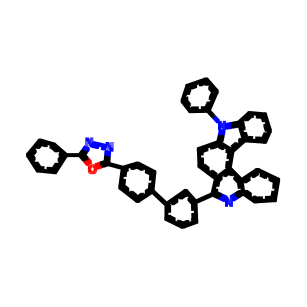 c1ccc(-c2nnc(-c3ccc(-c4cccc(-c5nc6ccccc6c6c5ccc5c6c6ccccc6n5-c5ccccc5)c4)cc3)o2)cc1